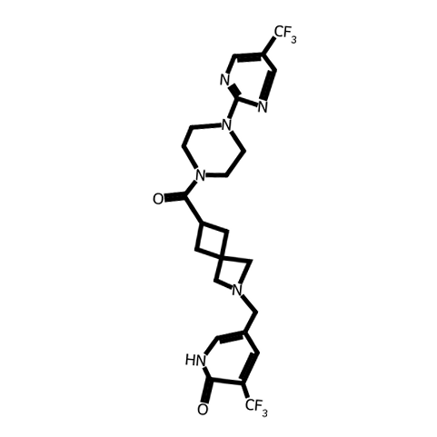 O=C(C1CC2(C1)CN(Cc1c[nH]c(=O)c(C(F)(F)F)c1)C2)N1CCN(c2ncc(C(F)(F)F)cn2)CC1